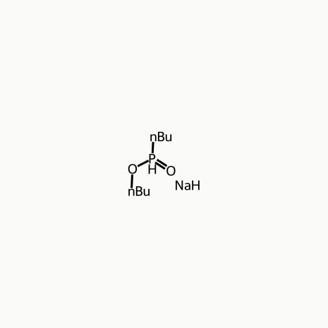 CCCCO[PH](=O)CCCC.[NaH]